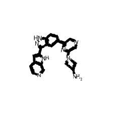 NC1CN(c2cncc(-c3ccc4[nH]nc(-c5cc6ccncc6[nH]5)c4c3)n2)C1